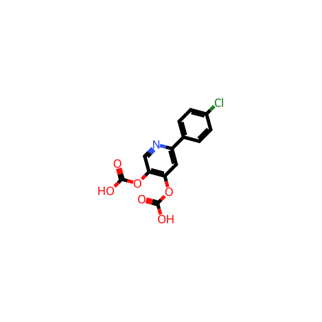 O=C(O)Oc1cnc(-c2ccc(Cl)cc2)cc1OC(=O)O